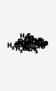 CCC(=O)N(Oc1ccc(C(C)(C)CC)cc1C(C)(C)CC)c1cc(O)c(-n2ncc([N+](=O)[O-])n2)cc1O